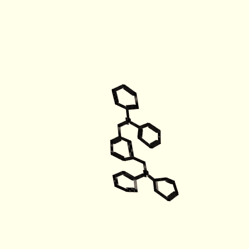 c1ccc(P(Cc2cccc(CP(c3ccccc3)c3ccccc3)c2)c2ccccc2)cc1